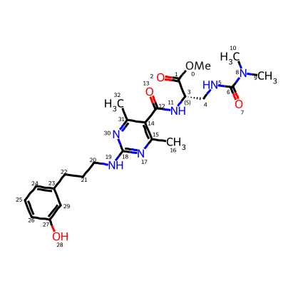 COC(=O)[C@H](CNC(=O)N(C)C)NC(=O)c1c(C)nc(NCCCc2cccc(O)c2)nc1C